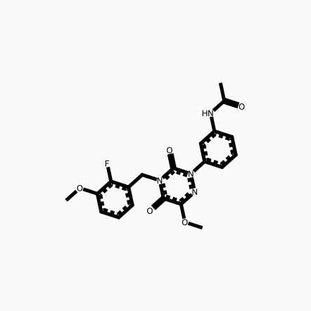 COc1cccc(Cn2c(=O)c(OC)nn(-c3cccc(NC(C)=O)c3)c2=O)c1F